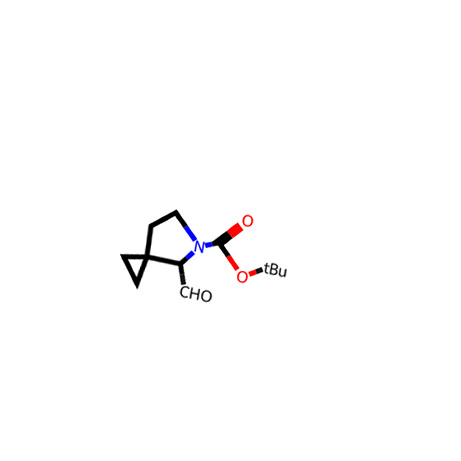 CC(C)(C)OC(=O)N1CCC2(CC2)C1C=O